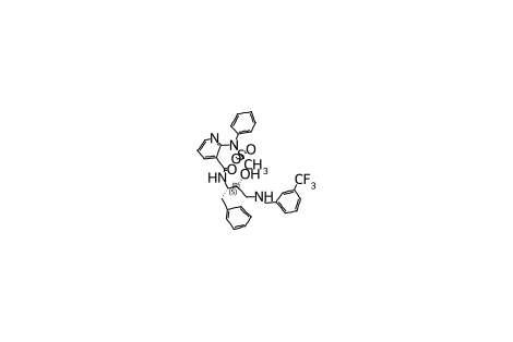 CS(=O)(=O)N(c1ccccc1)c1ncccc1C(=O)N[C@@H](Cc1ccccc1)[C@H](O)CNCc1cccc(C(F)(F)F)c1